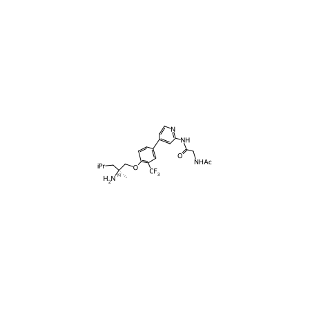 CC(=O)NCC(=O)Nc1cc(-c2ccc(OC[C@@](C)(N)CC(C)C)c(C(F)(F)F)c2)ccn1